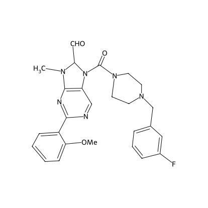 COc1ccccc1-c1ncc2c(n1)N(C)C(C=O)N2C(=O)N1CCN(Cc2cccc(F)c2)CC1